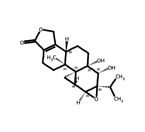 CC(C)[C@]12O[C@H]1[C@@H]1C[C@@]13[C@@]1(C)CCC4=C(COC4=O)[C@@H]1CC[C@@]3(O)[C@@H]2O